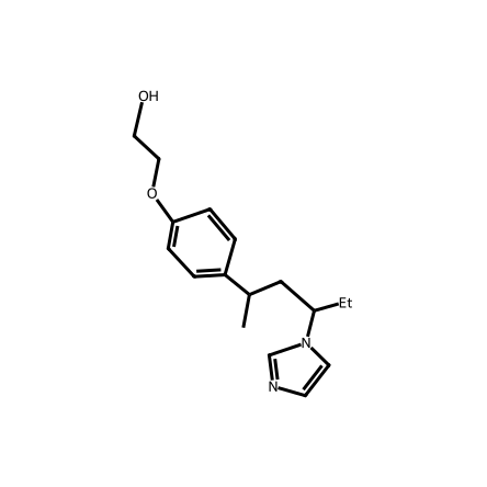 CCC(CC(C)c1ccc(OCCO)cc1)n1ccnc1